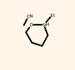 CC#N.CC[SiH]1CCCCO1